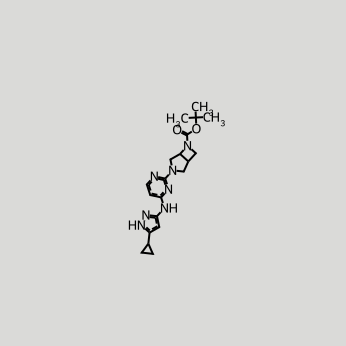 CC(C)(C)OC(=O)N1CC2CN(c3nccc(Nc4cc(C5CC5)[nH]n4)n3)CC21